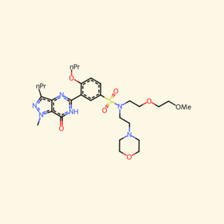 CCCOc1ccc(S(=O)(=O)N(CCOCCOC)CCN2CCOCC2)cc1-c1nc2c(CCC)nn(C)c2c(=O)[nH]1